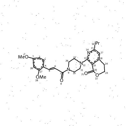 COc1ccc(C=CC(=O)N2CCN(c3nc(C(C)C)cc4c3C(=O)OCC4)CC2)c(OC)c1